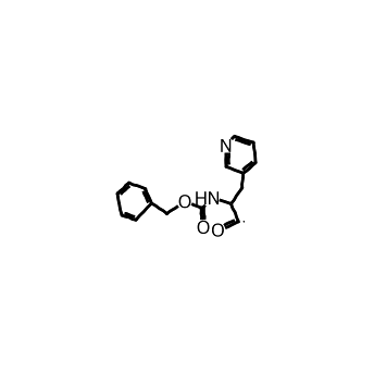 O=[C]C(Cc1cccnc1)NC(=O)OCc1ccccc1